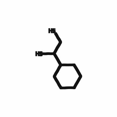 SCC(S)C1CCCCC1